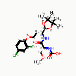 COC[C@@H](NC(=O)O)C(=O)N[C@H](CCOc1ccc(Cl)cc1F)B1OC(C)(C)C(C)(C)O1